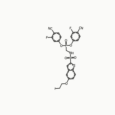 N#Cc1ccc(OP(=O)(CNS(=O)(=O)c2cc3cc(OCCI)ccc3s2)Oc2ccc(C#N)c(F)c2)cc1F